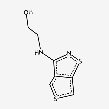 OCCNc1nsc2cscc12